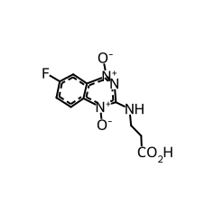 O=C(O)CCNc1n[n+]([O-])c2cc(F)ccc2[n+]1[O-]